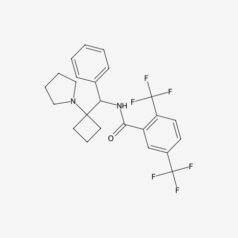 O=C(NC(c1ccccc1)C1(N2CCCC2)CCC1)c1cc(C(F)(F)F)ccc1C(F)(F)F